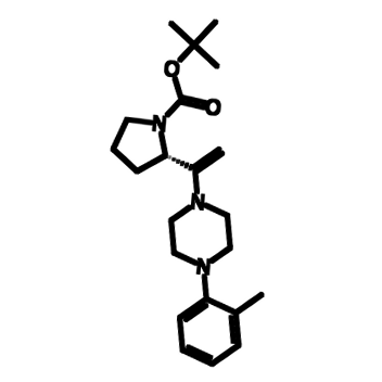 C=C([C@@H]1CCCN1C(=O)OC(C)(C)C)N1CCN(c2ccccc2C)CC1